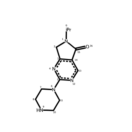 CC(C)N1Cc2nc(N3CCNCC3)ncc2C1=O